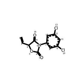 C=CC1OC(=O)N(c2cc(Cl)cc(Cl)c2)C1=O